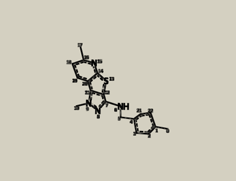 Cc1ccc(CNc2nn(C)c3c2sc2nc(C)ccc23)cc1